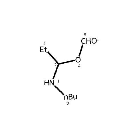 CCCCNC(CC)O[C]=O